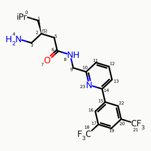 CC(C)C[C@H](CN)CC(=O)NCc1cccc(-c2cc(C(F)(F)F)cc(C(F)(F)F)c2)n1